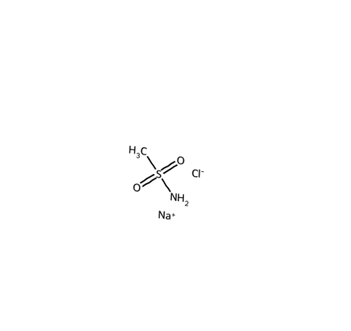 CS(N)(=O)=O.[Cl-].[Na+]